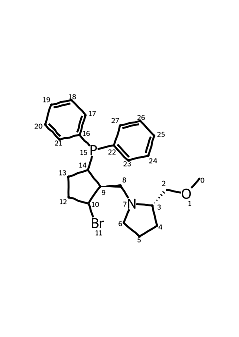 COC[C@@H]1CCCN1C[C@H]1C(Br)CCC1P(c1ccccc1)c1ccccc1